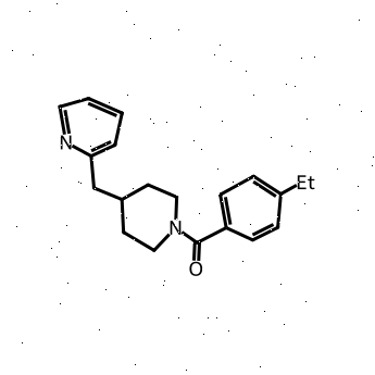 CCc1ccc(C(=O)N2CCC(Cc3ccccn3)CC2)cc1